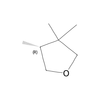 C[C@H]1COCC1(C)C